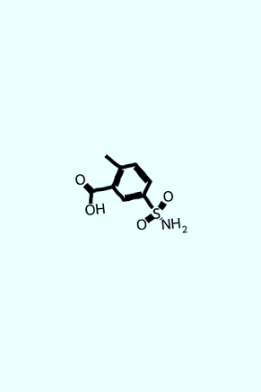 Cc1ccc(S(N)(=O)=O)cc1C(=O)O